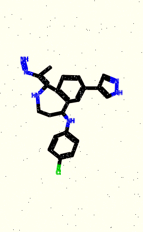 C/C(N=N)=C1/NCCC(Nc2ccc(Cl)cc2)c2cc(-c3cn[nH]c3)ccc21